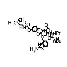 CCCCNC(=O)N(C(C)C)N1CC(=O)N2[C@@H](Cc3ccc(OC(=O)NCCN(C)C)cc3)C(=O)N(Cc3cccc4sc(N)nc34)C[C@@H]21